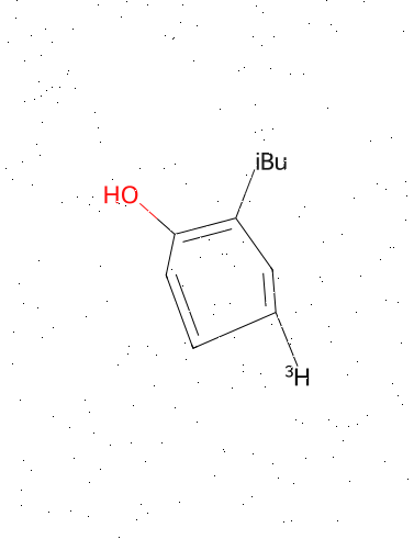 [3H]c1ccc(O)c(C(C)CC)c1